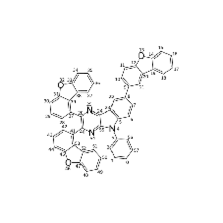 c1ccc(-n2c3ccc(-c4ccc5oc6ccccc6c5c4)cc3c3nc(-c4cccc5oc6ccccc6c45)c(-c4cccc5oc6ccccc6c45)nc32)cc1